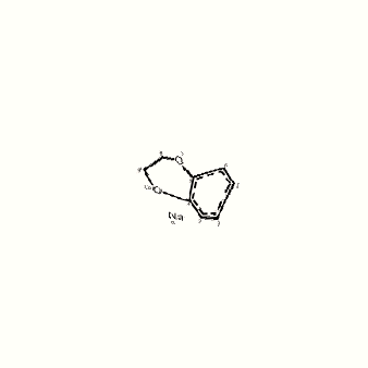 [Na].c1ccc2c(c1)OCCO2